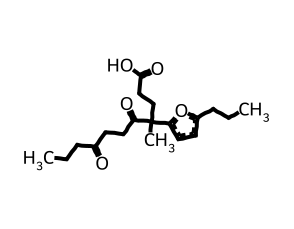 CCCC(=O)CCC(=O)C(C)(CCC(=O)O)c1ccc(CCC)o1